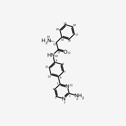 Nc1nccc(-c2ccc(NC(=O)[C@H](N)c3ccccc3)cc2)n1